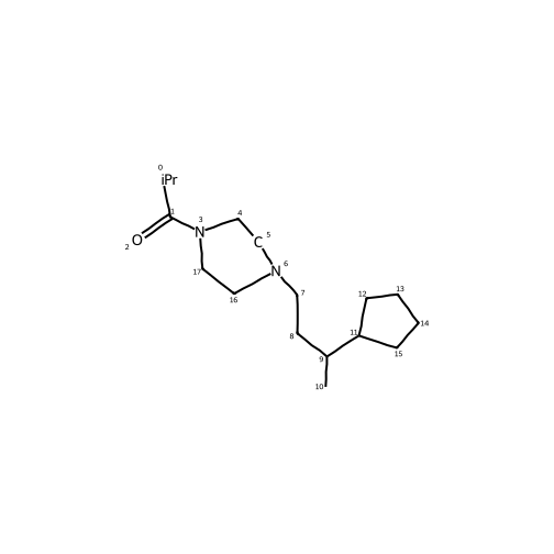 CC(C)C(=O)N1CCN(CCC(C)C2CCCC2)CC1